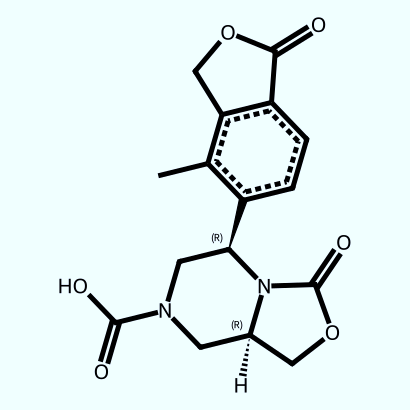 Cc1c([C@@H]2CN(C(=O)O)C[C@@H]3COC(=O)N32)ccc2c1COC2=O